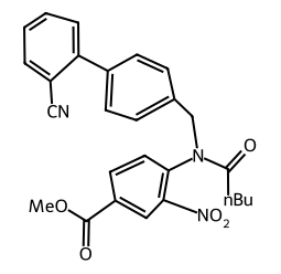 CCCCC(=O)N(Cc1ccc(-c2ccccc2C#N)cc1)c1ccc(C(=O)OC)cc1[N+](=O)[O-]